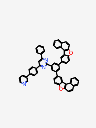 c1ccc(-c2cc(-c3ccc(-c4cccnc4)cc3)nc(-c3cc(-c4ccc5oc6ccc7ccccc7c6c5c4)cc(-c4ccc5oc6ccc7ccccc7c6c5c4)c3)n2)cc1